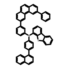 c1ccc(-c2ccc3ccc4ccc(-c5cccc(N(c6ccc(-c7cccc8ccccc78)cc6)c6cccc7c6sc6ccccc67)c5)cc4c3c2)cc1